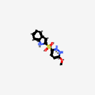 COC1=CC=C(S(=O)(=O)c2cc3ccccc3[nH]2)NN1